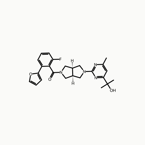 Cc1cc(C(C)(C)O)nc(N2C[C@H]3CN(C(=O)c4c(F)cccc4-c4ccco4)C[C@H]3C2)n1